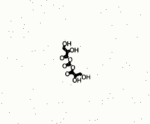 O=C(OC(=O)C(O)CO)OC(=O)C(O)CO